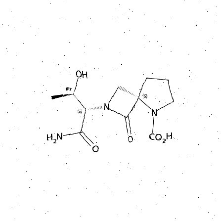 C[C@@H](O)[C@@H](C(N)=O)N1C[C@@]2(CCCN2C(=O)O)C1=O